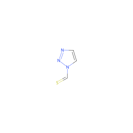 S=Cn1ccnn1